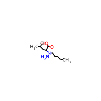 CCCCCN(N)C(CC(C)C)C(=O)O